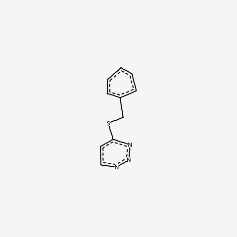 c1ccc(CSc2ccnnn2)cc1